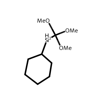 COC(OC)(OC)[SiH2]C1CCCCC1